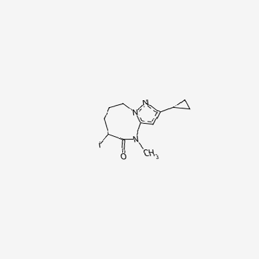 CN1C(=O)C(I)CCCn2nc(C3CC3)cc21